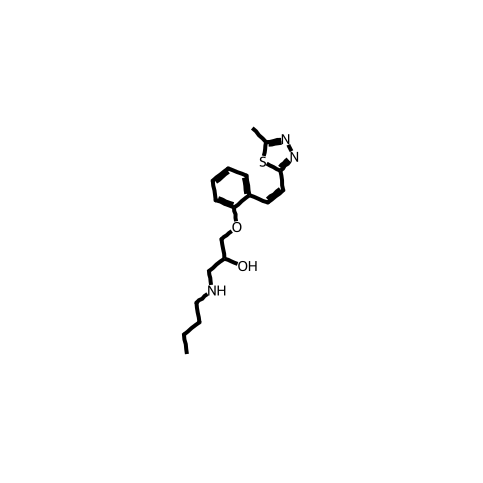 CCCCNCC(O)COc1ccccc1/C=C\c1nnc(C)s1